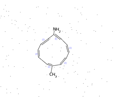 CC1=C/C=C\C=C/C(N)=C\C=C/C=C\1